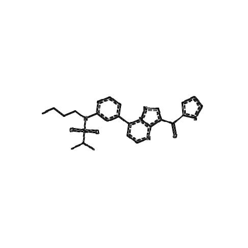 CCCCN(c1cccc(-c2ccnc3c(C(=O)c4cccs4)cnn23)c1)S(=O)(=O)C(C)C